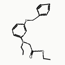 CCOC(=O)CN(CC)c1cccc(OCc2ccccc2)c1